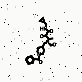 CC(C(=O)C(=O)NCC1CC1)N(C=O)CC1CCN(C(=O)c2ccccc2)CC1